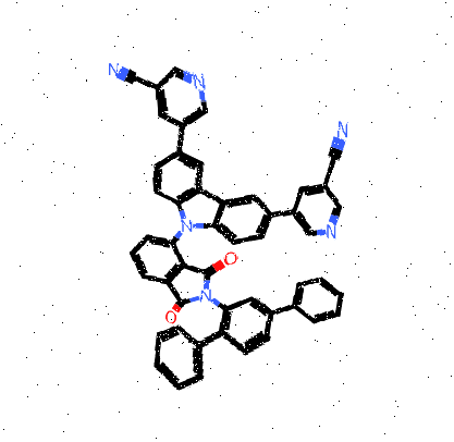 N#Cc1cncc(-c2ccc3c(c2)c2cc(-c4cncc(C#N)c4)ccc2n3-c2cccc3c2C(=O)N(c2cc(-c4ccccc4)ccc2-c2ccccc2)C3=O)c1